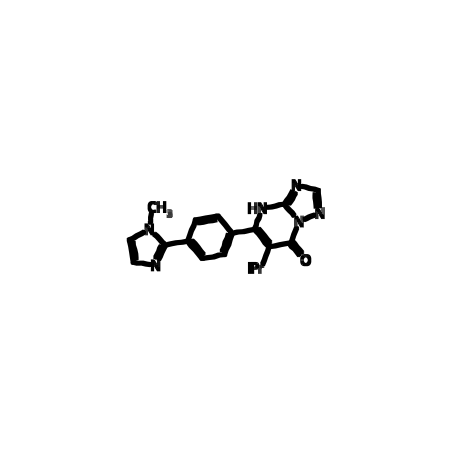 CC(C)c1c(-c2ccc(-c3nccn3C)cc2)[nH]c2ncnn2c1=O